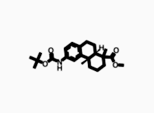 COC(=O)C1(C)CCC[C@]2(C)c3cc(NC(=O)OC(C)(C)C)ccc3CC[C@@H]12